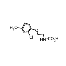 Cc1ccc(OCCNC(=O)O)c(Cl)c1